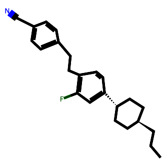 CCC[C@H]1CC[C@H](c2ccc(CCc3ccc(C#N)cc3)c(F)c2)CC1